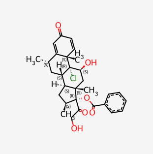 C[C@H]1C[C@H]2[C@@H]3C[C@H](C)[C@](OC(=O)c4ccccc4)(C(=O)CO)[C@@]3(C)C[C@H](O)[C@]2(Cl)[C@@]2(C)C=CC(=O)C=C12